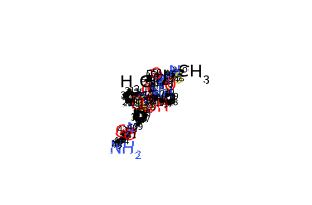 Cc1nc(CN2C(=O)CN([C@H](C(=O)N[C@@H](Cc3ccccc3)[C@H](O)CN(CC3CCCC3)S(=O)(=O)c3ccc(C=NOC(=O)CCN)cc3)C(C)C)C2=O)cs1